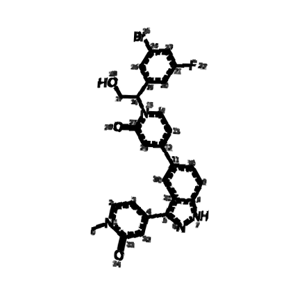 Cn1ccc(-c2n[nH]c3ccc(-c4ccn(C(CO)c5cc(F)cc(Br)c5)c(=O)c4)cc23)cc1=O